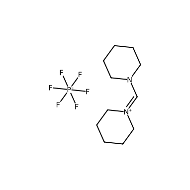 C(N1CCCCC1)=[N+]1CCCCC1.F[P-](F)(F)(F)(F)F